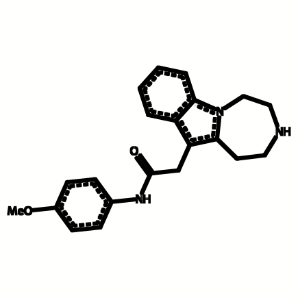 COc1ccc(NC(=O)Cc2c3n(c4ccccc24)CCNCC3)cc1